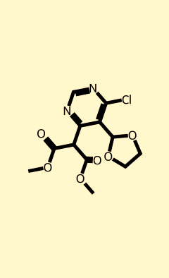 COC(=O)C(C(=O)OC)c1ncnc(Cl)c1C1OCCO1